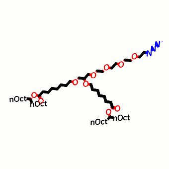 CCCCCCCCC(CCCCCCCC)OC(=O)CCCCCCCOCC(COCCOCCOCCOCCN=[N+]=[N-])OCCCCCCCC(=O)OC(CCCCCCCC)CCCCCCCC